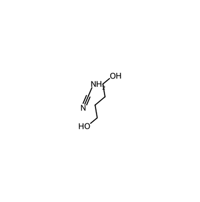 N#CN.OCCCCO